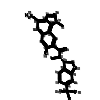 CN(C(=O)c1cc2c(cc1Cl)nc(N)c1cnn(C)c12)[C@@H]1COc2nc(C(F)(F)F)ccc21